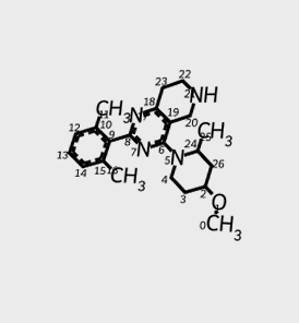 COC1CCN(c2nc(-c3c(C)cccc3C)nc3c2CNCC3)C(C)C1